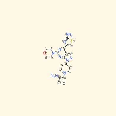 Nc1nc(-c2nc(N3CCOCC3)nc3c2cnn3C2CCN(C[C@H](N)C=O)CC2)cs1